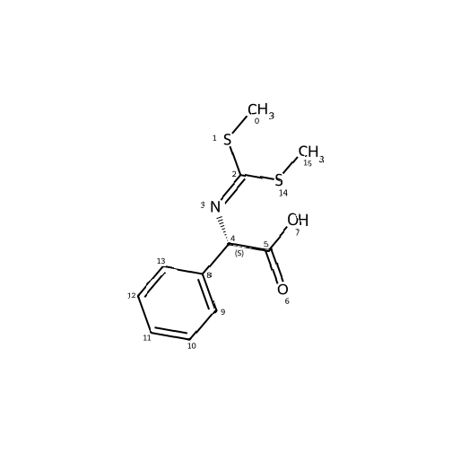 CSC(=N[C@H](C(=O)O)c1ccccc1)SC